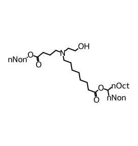 CCCCCCCCCOC(=O)CCCN(CCO)CCCCCCCC(=O)OC(CCCCCCCC)CCCCCCCCC